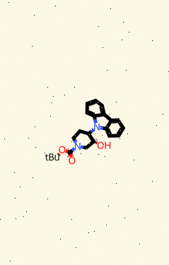 CC(C)(C)OC(=O)N1CCC(n2c3ccccc3c3ccccc32)[C@@H](O)C1